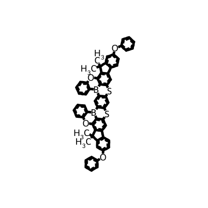 CC1(C)c2cc(Oc3ccccc3)ccc2-c2cc3c4c(c21)Oc1ccccc1B4c1cc2c(cc1S3)Sc1cc3c(c4c1B2c1ccccc1O4)C(C)(C)c1cc(Oc2ccccc2)ccc1-3